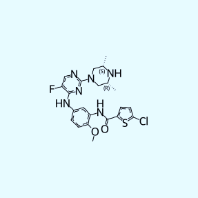 COc1ccc(Nc2nc(N3C[C@@H](C)N[C@@H](C)C3)ncc2F)cc1NC(=O)c1ccc(Cl)s1